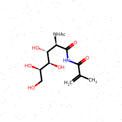 C=C(C)C(=O)NC(=O)[C@H](NC(C)=O)[C@@H](O)[C@@H](O)[C@H](O)CO